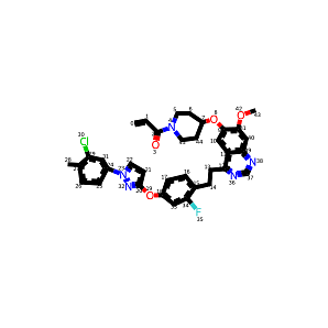 C=CC(=O)N1CCC(Oc2cc3c(CCc4ccc(Oc5ccn(-c6ccc(C)c(Cl)c6)n5)cc4F)ncnc3cc2OC)CC1